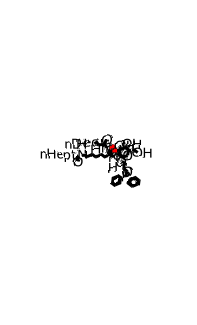 CCCCCCCCCCCC(=O)NCC(=O)[C@]1(O)[C@H](O)[C@@H](CO)O[C@H](OCCOP(c2ccccc2)c2ccccc2)[C@H]1NC(=O)CCCCCNC(=O)CCCCCCC